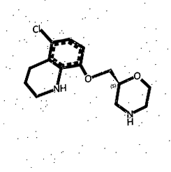 Clc1ccc(OC[C@@H]2CNCCO2)c2c1CCCN2